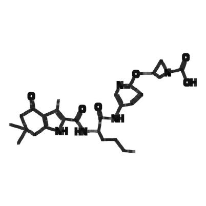 CCCCC(NC(=O)c1[nH]c2c(c1C)C(=O)CC(C)(C)C2)C(=O)Nc1ccc(OC2CN(C(=O)O)C2)nc1